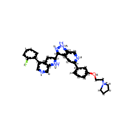 Fc1ccccc1-c1cncc2[nH]c(-c3n[nH]c4cnc(-c5cccc(OCCN6CCCC6)c5)cc34)cc12